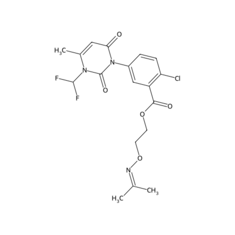 CC(C)=NOCCOC(=O)c1cc(-n2c(=O)cc(C)n(C(F)F)c2=O)ccc1Cl